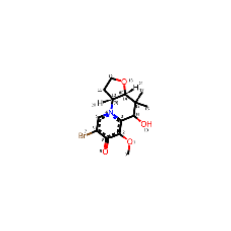 COc1c2n(cc(Br)c1=O)[C@@H]1CCO[C@@H]1C(C)(C)C2O